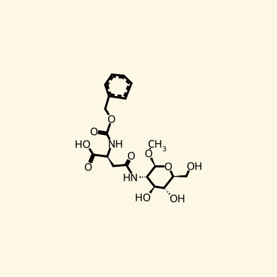 CO[C@H]1O[C@@H](CO)[C@H](O)[C@@H](O)[C@@H]1NC(=O)C[C@H](NC(=O)OCc1ccccc1)C(=O)O